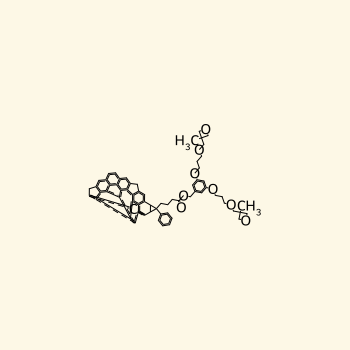 CC1(COCCCOc2cc(COC(=O)CCCC3(c4ccccc4)C4c5cc6c7c8c(cc9ccc%10cc%11c%12c%13c(cc(c%14c5c7c(c%14%13)c5c8c9c%10c%125)C43)C%11)C6)cc(OCCCOCC3(C)COC3)c2)COC1